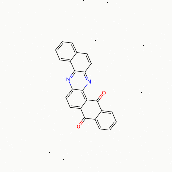 O=C1c2ccccc2C(=O)c2c1ccc1nc3c(ccc4ccccc43)nc21